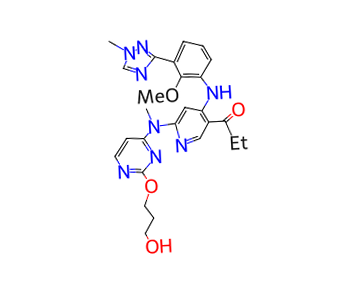 CCC(=O)c1cnc(N(C)c2ccnc(OCCCO)n2)cc1Nc1cccc(-c2ncn(C)n2)c1OC